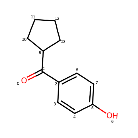 O=C(c1ccc(O)cc1)C1CCCC1